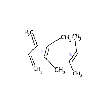 C/C=C/C.C/C=C\C.C=CC=C